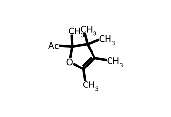 CC(=O)C1(C)OC(C)=C(C)C1(C)C